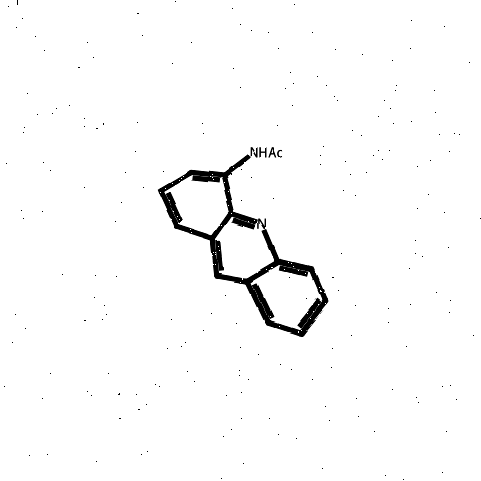 CC(=O)Nc1cccc2cc3ccccc3nc12